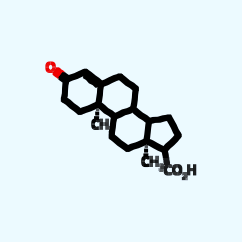 C[C@]12CCC3C(CCC4=CC(=O)CC[C@@]43C)C1CCC2C(=O)O